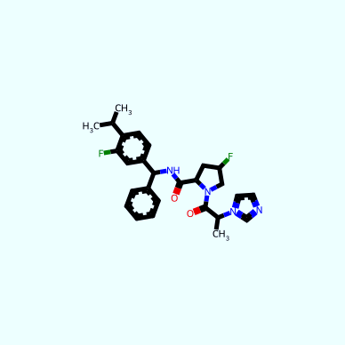 CC(C)c1ccc(C(NC(=O)C2CC(F)CN2C(=O)C(C)n2ccnc2)c2ccccc2)cc1F